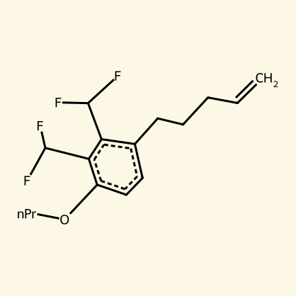 C=CCCCc1ccc(OCCC)c(C(F)F)c1C(F)F